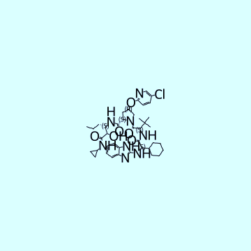 CCC[C@H](NC(=O)[C@@H]1C[C@@H](Oc2ccc(Cl)cn2)CN1C(=O)[C@@H](NC(=O)[C@@H](Nc1nc2ccccc2[nH]1)C1CCCCC1)C(C)(C)C)C(O)C(=O)NC1CC1